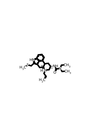 C=CCN1C[C@@H](NC(=O)N(CC)CC)CC2c3cccc4[nH]c(CSC)c(c34)C[C@H]21